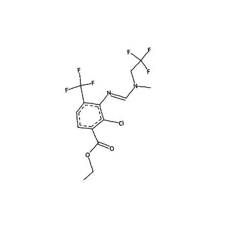 CCOC(=O)c1ccc(C(F)(F)F)c(/N=C/N(C)CC(F)(F)F)c1Cl